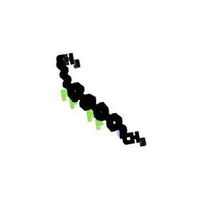 C/C=C/C1CCC(c2ccc(-c3ccc(-c4ccc(CCCCCC)c(F)c4F)cc3)c(F)c2F)CC1